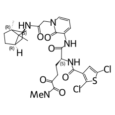 CNC(=O)C(=O)CC[C@H](NC(=O)c1cc(Cl)sc1Cl)C(=O)Nc1cccn(CC(=O)N[C@H]2C[C@H]3CC[C@]2(C)C3(C)C)c1=O